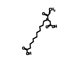 C=CC(=O)N(CCCCCCCCCCC(=O)O)CC(=O)O